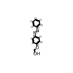 OCOc1ccc(/N=N/c2ccccc2)cc1